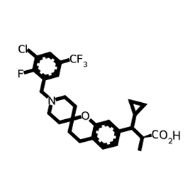 C[C@H](C(=O)O)C(c1ccc2c(c1)OC1(CC2)CCN(Cc2cc(C(F)(F)F)cc(Cl)c2F)CC1)C1CC1